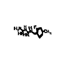 Cc1ccc(CNC(=N)NC(=N)N)c(F)c1